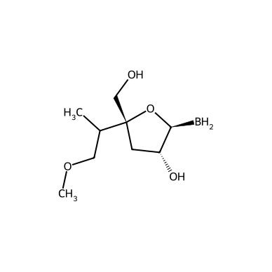 B[C@@H]1O[C@@](CO)(C(C)COC)C[C@H]1O